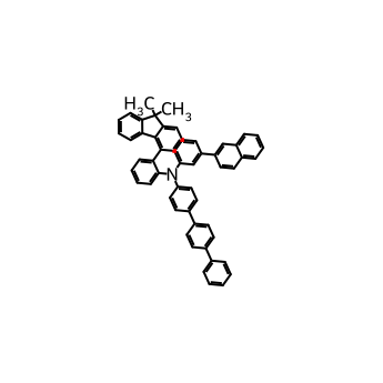 CC1(C)c2ccccc2-c2c(-c3ccccc3N(c3ccc(-c4ccc(-c5ccccc5)cc4)cc3)c3cccc(-c4ccc5ccccc5c4)c3)cccc21